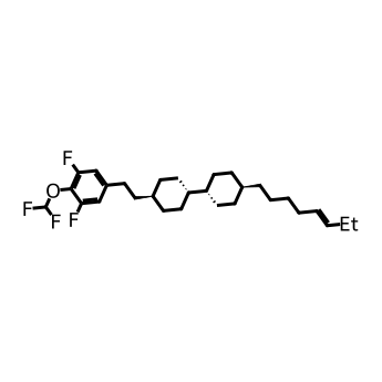 CC/C=C/CCCC[C@H]1CC[C@H]([C@H]2CC[C@H](CCc3cc(F)c(OC(F)F)c(F)c3)CC2)CC1